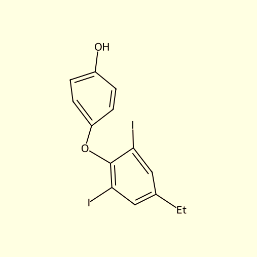 CCc1cc(I)c(Oc2ccc(O)cc2)c(I)c1